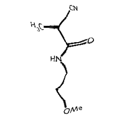 COCCNC(=O)C(C)C#N